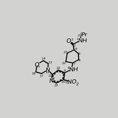 CC(C)NC(=O)C1CCC(Nc2cc(N3CCOCC3)ncc2[N+](=O)[O-])CC1